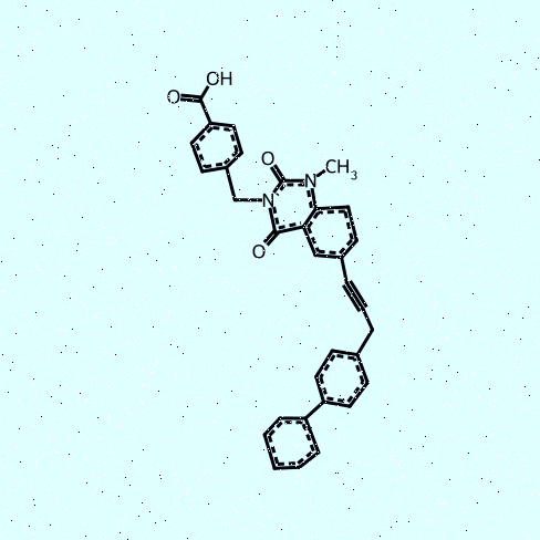 Cn1c(=O)n(Cc2ccc(C(=O)O)cc2)c(=O)c2cc(C#CCc3ccc(-c4ccccc4)cc3)ccc21